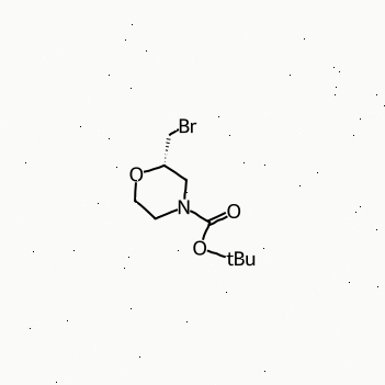 CC(C)(C)OC(=O)N1CCO[C@H](CBr)C1